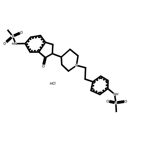 CS(=O)(=O)Nc1ccc(CCN2CCC(C3Cc4ccc(NS(C)(=O)=O)cc4C3=O)CC2)cc1.Cl